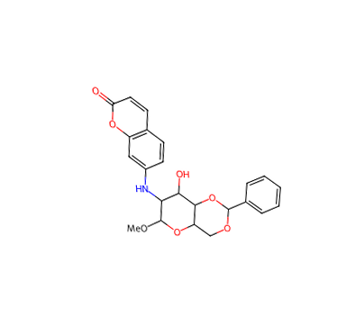 COC1OC2COC(c3ccccc3)OC2C(O)C1Nc1ccc2ccc(=O)oc2c1